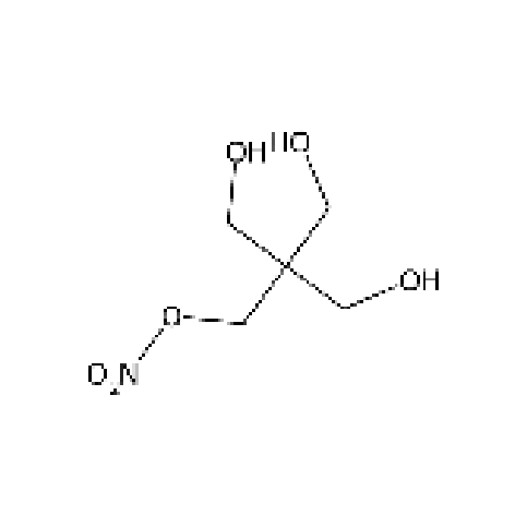 O=[N+]([O-])OCC(CO)(CO)CO